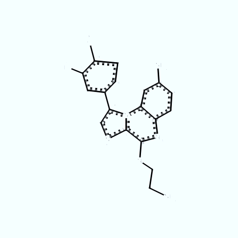 NCCNc1nc2ccc(N)cc2n2c(-c3ccc(O)c(O)c3)cnc12